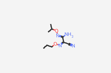 CCCON=C(C#N)C(N)=NOC(C)C